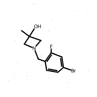 CC1(O)CN(Cc2ccc(Br)cc2F)C1